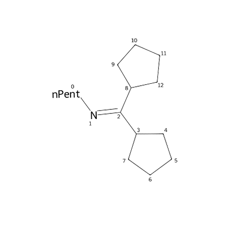 CCCCCN=C(C1CCCC1)C1CCCC1